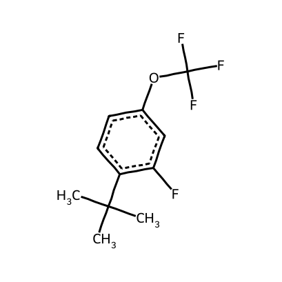 CC(C)(C)c1ccc(OC(F)(F)F)cc1F